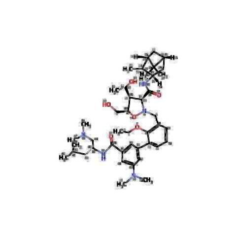 CCOc1c(CN2O[C@@H](CO)[C@@H]([C@H](C)O)[C@H]2C(=O)N[C@H]2C[C@H]3C[C@@H]([C@@H]2C)C3(C)C)cccc1-c1cc(C(=O)N[C@H](CC(C)C)CN(C)C)cc(N(C)C)c1